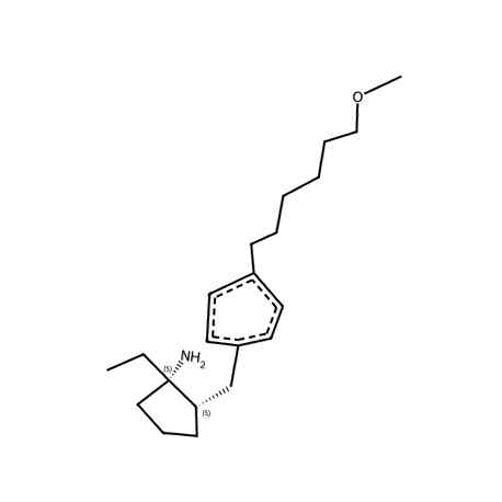 CC[C@]1(N)CCC[C@H]1Cc1ccc(CCCCCCOC)cc1